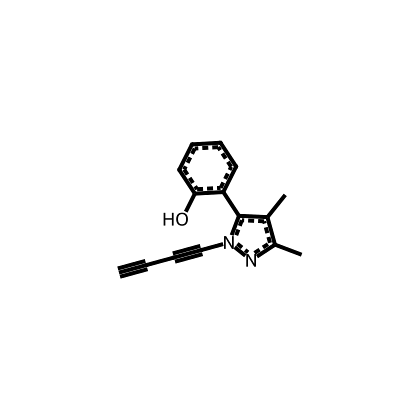 C#CC#Cn1nc(C)c(C)c1-c1ccccc1O